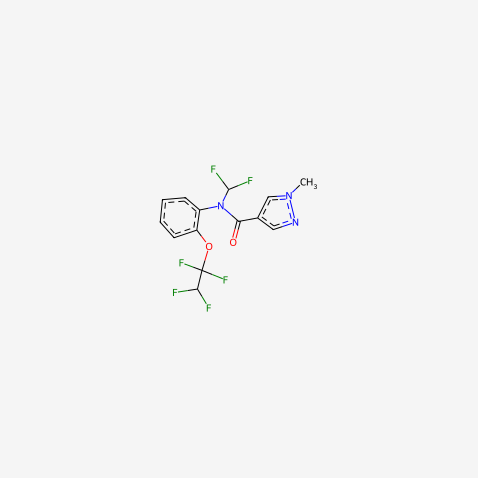 Cn1cc(C(=O)N(c2ccccc2OC(F)(F)C(F)F)C(F)F)cn1